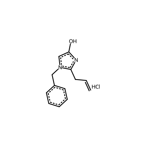 C=CCc1nc(O)cn1Cc1ccccc1.Cl